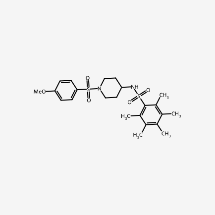 COc1ccc(S(=O)(=O)N2CCC(NS(=O)(=O)c3c(C)c(C)c(C)c(C)c3C)CC2)cc1